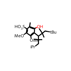 COc1c(OC)c(S(=O)(=O)O)c(C)c(O)c1C(C(C)(C)CC(C)C)C(C)(C)CC(C)(C)C